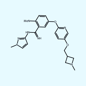 CNc1ccc(Oc2ccc(OCC3CN(C)C3)cn2)cc1C(=N)Nc1ccn(C)n1